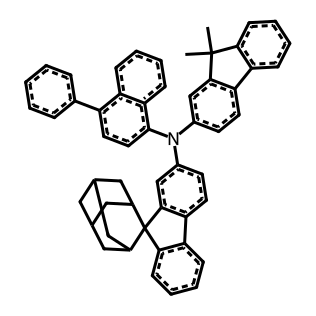 CC1(C)c2ccccc2-c2ccc(N(c3ccc4c(c3)C3(c5ccccc5-4)C4CC5CC(C4)CC3C5)c3ccc(-c4ccccc4)c4ccccc34)cc21